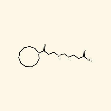 NC(=O)CC[SiH2]O[SiH2]CCC(=O)N1CCCCCCCCCC1